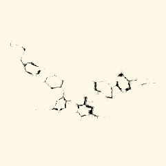 CCCCCCCCCCCCc1cnc([C@H]2CC[C@H](Cc3cc(CCCCCCCCC)ccc3Oc3ccc(CCCCCCCCC)cc3C[C@H]3CC[C@H](c4ncc(CCCCCCCCCCCC)cn4)CC3)CC2)nc1